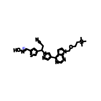 C[Si](C)(C)CCOCn1ccc2c(-c3cnn(C(CC#N)c4csc(/C=N/O)c4)c3)ncnc21